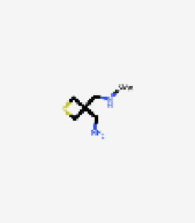 CSNCC1(CN)CSC1